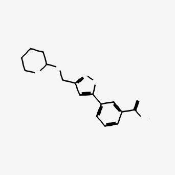 COC(=O)c1cccc(-c2cc(COC3CCCCO3)no2)c1